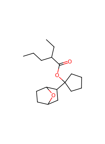 CCCC(CC)C(=O)OC1(C2CC3CCC2O3)CCCC1